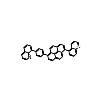 c1cnc2c(-c3ccc(-c4ccc5ccc6c(-c7cccc8ncccc78)ccc7ccc4c5c76)cc3)cccc2c1